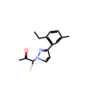 CCc1ccc(C)cc1-c1ccn(C(F)C(C)=O)n1